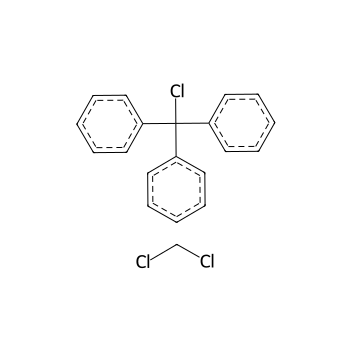 ClC(c1ccccc1)(c1ccccc1)c1ccccc1.ClCCl